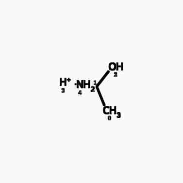 CCO.[H+].[NH2]